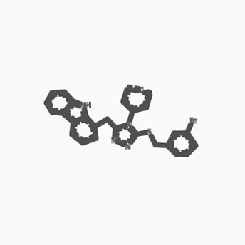 Brc1cccc(CSc2nnc(Cc3cccc4c3[nH]c3ccccc34)n2-c2ccccc2)c1